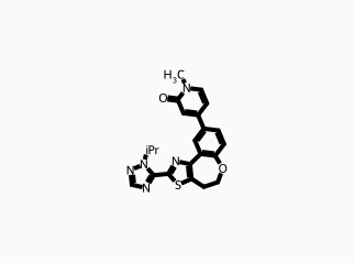 CC(C)n1ncnc1-c1nc2c(s1)CCOc1ccc(-c3ccn(C)c(=O)c3)cc1-2